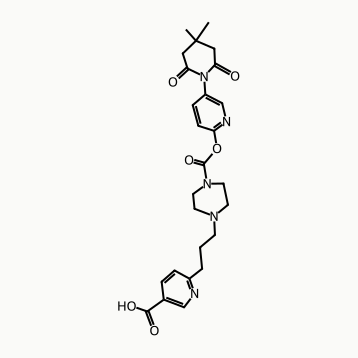 CC1(C)CC(=O)N(c2ccc(OC(=O)N3CCN(CCCc4ccc(C(=O)O)cn4)CC3)nc2)C(=O)C1